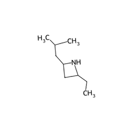 CCC1CC(CC(C)C)N1